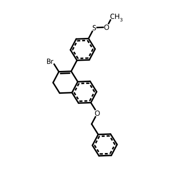 COSc1ccc(C2=C(Br)CCc3cc(OCc4ccccc4)ccc32)cc1